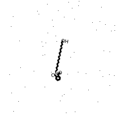 O=C1c2ccccc2C(=O)N1CCCCCCCCCCCCCCCCCO